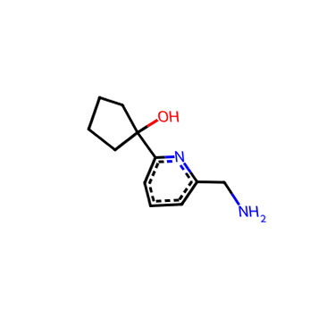 NCc1cccc(C2(O)CCCC2)n1